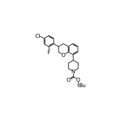 CC(C)(C)OC(=O)N1CCC(c2cccc3c2OCC(c2ccc(Cl)cc2F)C3)CC1